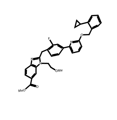 COCCn1c(Cc2ccc(-c3cccc(OCc4ccccc4C4CC4)n3)cc2F)nc2ccc(C(=O)OC)cc21